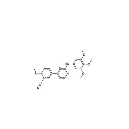 COc1ccc(-c2ccnc(Nc3cc(OC)c(OC)c(OC)c3)n2)cc1C#N